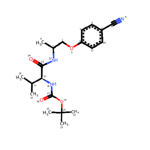 CC(COc1ccc(C#N)cc1)NC(=O)[C@@H](NC(=O)OC(C)(C)C)C(C)C